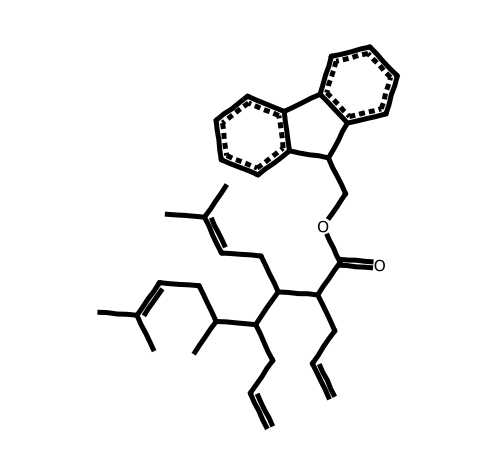 C=CCC(C(=O)OCC1c2ccccc2-c2ccccc21)C(CC=C(C)C)C(CC=C)C(C)CC=C(C)C